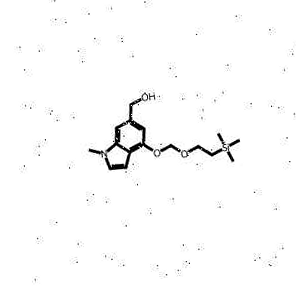 Cn1ccc2c(OCOCC[Si](C)(C)C)cc(CO)cc21